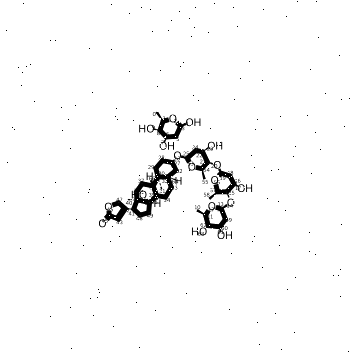 C[C@H]1O[C@@H](O)C[C@H](O)[C@@H]1O.C[C@H]1O[C@@H](O[C@H]2[C@@H](O)C[C@H](O[C@H]3[C@@H](O)C[C@H](O[C@H]4CC[C@@]5(C)[C@H](CC[C@@H]6[C@@H]5CC[C@]5(C)[C@@H](C7=CC(=O)OC7)CC[C@]65O)C4)O[C@@H]3C)O[C@@H]2C)C[C@H](O)[C@@H]1O